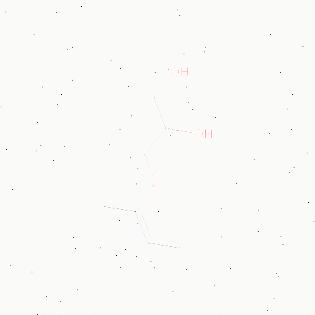 C/C=C(/C)OCC(O)CO